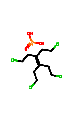 ClCCC(CCCl)=C(CCCl)CCCl.O=[PH](O)O